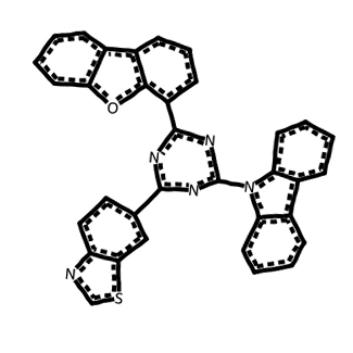 c1ccc2c(c1)oc1c(-c3nc(-c4ccc5ncsc5c4)nc(-n4c5ccccc5c5ccccc54)n3)cccc12